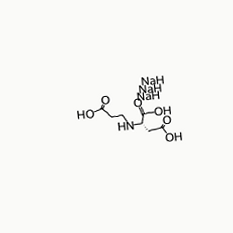 O=C(O)CCN[C@@H](CC(=O)O)C(=O)O.[NaH].[NaH].[NaH]